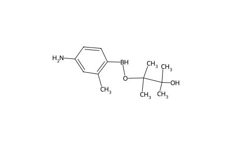 Cc1cc(N)ccc1BOC(C)(C)C(C)(C)O